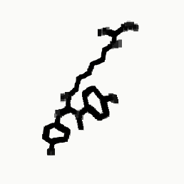 CNC(=N)NCCCCCCNC(=Nc1ccc(Cl)cc1)N(C)c1ccc(Cl)cc1